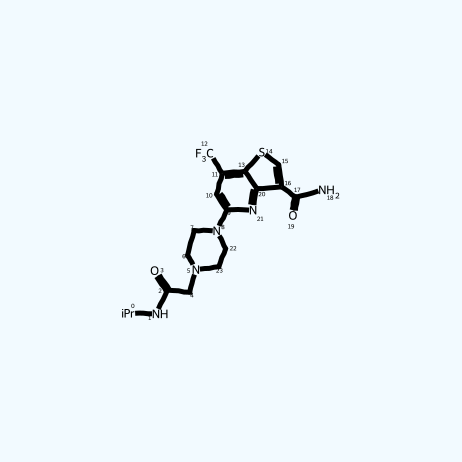 CC(C)NC(=O)CN1CCN(c2cc(C(F)(F)F)c3scc(C(N)=O)c3n2)CC1